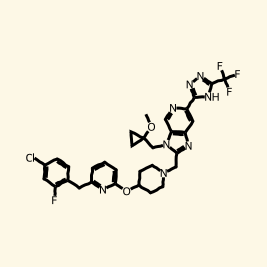 COC1(Cn2c(CN3CCC(Oc4cccc(Cc5ccc(Cl)cc5F)n4)CC3)nc3cc(-c4nnc(C(F)(F)F)[nH]4)ncc32)CC1